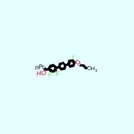 C=CCCOc1ccc(C2CCC(c3ccc(C(O)CCC)c(F)c3F)CC2)cc1F